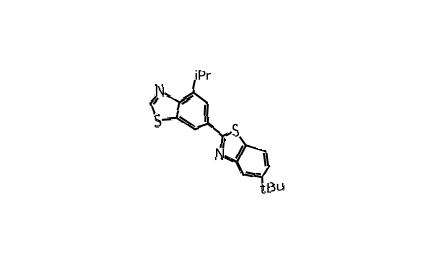 CC(C)c1cc(-c2nc3cc(C(C)(C)C)ccc3s2)cc2scnc12